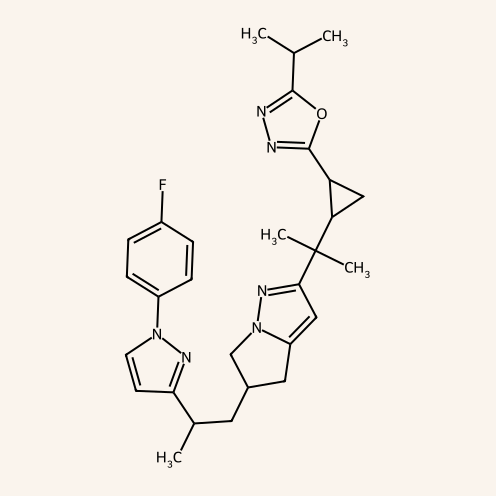 CC(C)c1nnc(C2CC2C(C)(C)c2cc3n(n2)CC(CC(C)c2ccn(-c4ccc(F)cc4)n2)C3)o1